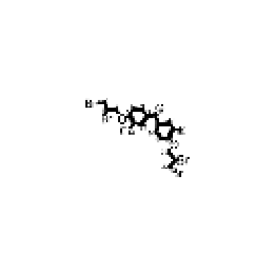 O=C(c1ccc(OCC(Br)CBr)c(Cl)c1)c1ccc(OCC(Br)CBr)c(Cl)c1